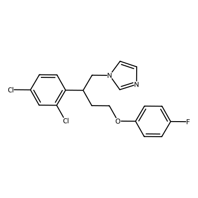 Fc1ccc(OCCC(Cn2ccnc2)c2ccc(Cl)cc2Cl)cc1